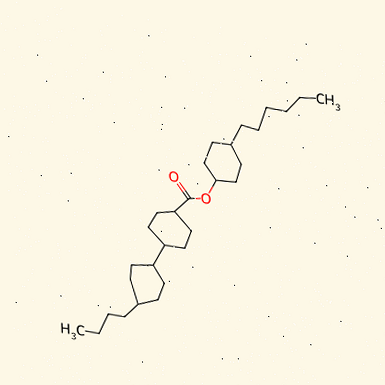 CCCCCCC1CCC(OC(=O)C2CCC(C3CCC(CCCC)CC3)CC2)CC1